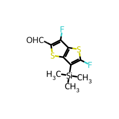 C[Si](C)(C)c1c(F)sc2c(F)c(C=O)sc12